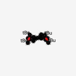 CC(C)(C)c1ccc(-c2cc(C(C)(C)C)ccc2N(c2ccc(-c3ccccc3)cc2)c2ccc3c4cc5c(cc4n4c6ccccc6c2c34)c2ccc(N(c3ccc(-c4ccccc4)cc3)c3ccc(C(C)(C)C)cc3-c3ccc(C(C)(C)C)cc3)c3c4ccccc4n5c23)cc1